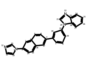 c1cc(-c2ccc3cc(-n4ccnc4)ccc3c2)cc(-n2cnc3ccccc32)c1